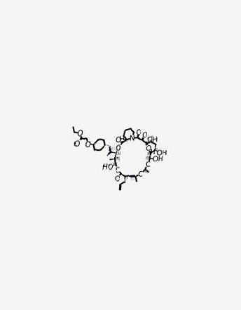 C=CC[C@@H]1/C=C(\C)C[C@H](C)C[C@H](O)[C@H]2O[C@@](O)(C(=O)C(=O)N3CCCC[C@H]3C(=O)O[C@H](/C(C)=C/[C@H]3CC[C@H](OCC(=O)OCC)CC3)[C@H](C)[C@@H](O)CC1=O)[C@H](C)C[C@@H]2O